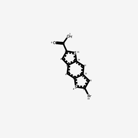 O=C(O)c1cc2cc3sc(Br)cc3cc2s1